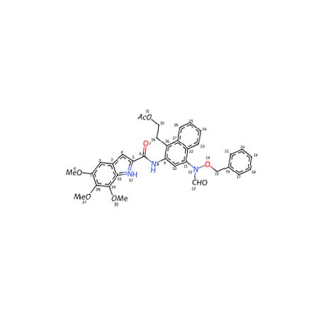 COc1cc2cc(C(=O)Nc3cc(N(C=O)OCc4ccccc4)c4ccccc4c3CCOC(C)=O)[nH]c2c(OC)c1OC